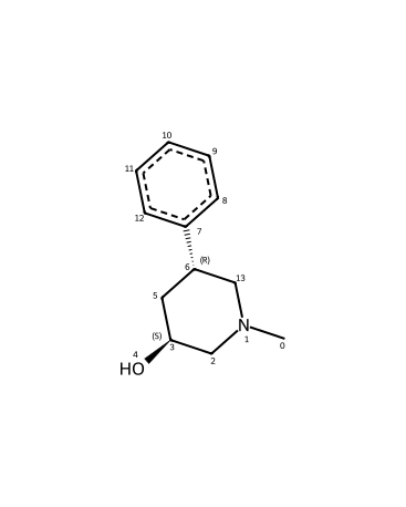 CN1C[C@@H](O)C[C@H](c2ccccc2)C1